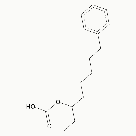 CCC(CCCCCc1ccccc1)OC(=O)O